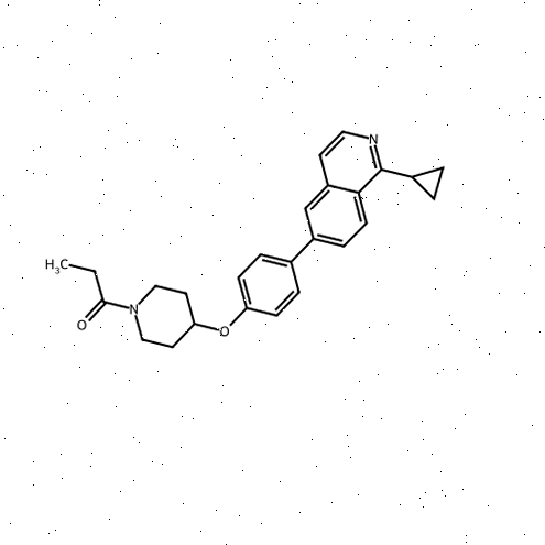 CCC(=O)N1CCC(Oc2ccc(-c3ccc4c(C5CC5)nccc4c3)cc2)CC1